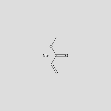 C=CC(=O)OC.[Na]